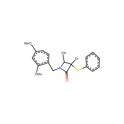 CCC1(Sc2ccccc2)C(=O)N(Cc2ccc(OC)cc2OC)C1C#N